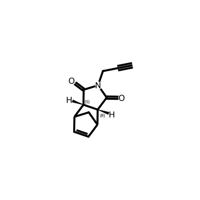 C#CCN1C(=O)[C@@H]2C3C=CC(C3)[C@@H]2C1=O